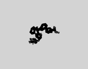 O=C(O)c1cccc(-c2cccc(C(Cc3ccccc3)c3ccc(OS(=O)(=O)C(F)(F)F)cn3)c2)c1